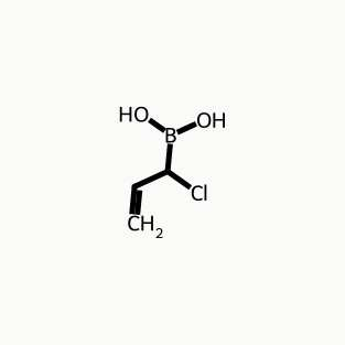 C=CC(Cl)B(O)O